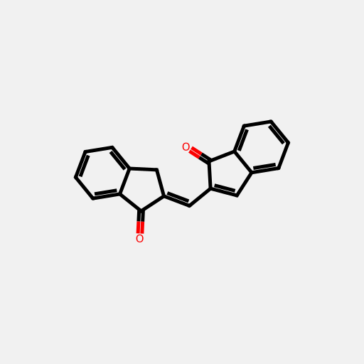 O=C1C(C=C2Cc3ccccc3C2=O)=Cc2ccccc21